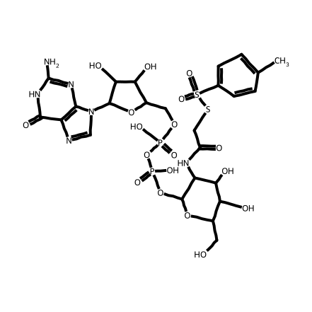 Cc1ccc(S(=O)(=O)SCC(=O)NC2C(OP(=O)(O)OP(=O)(O)OCC3OC(n4cnc5c(=O)[nH]c(N)nc54)C(O)C3O)OC(CO)C(O)C2O)cc1